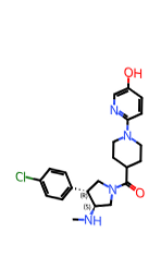 CN[C@@H]1CN(C(=O)C2CCN(c3ccc(O)cn3)CC2)C[C@H]1c1ccc(Cl)cc1